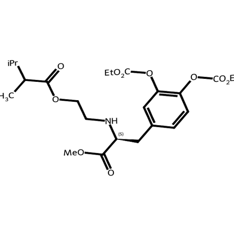 CCOC(=O)Oc1ccc(C[C@H](NCCOC(=O)C(C)C(C)C)C(=O)OC)cc1OC(=O)OCC